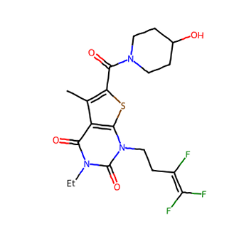 CCn1c(=O)c2c(C)c(C(=O)N3CCC(O)CC3)sc2n(CCC(F)=C(F)F)c1=O